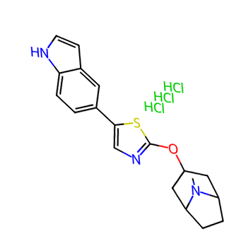 CN1C2CCC1CC(Oc1ncc(-c3ccc4[nH]ccc4c3)s1)C2.Cl.Cl.Cl